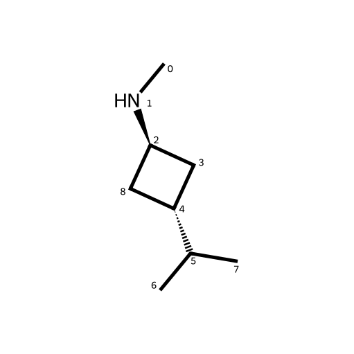 CN[C@H]1C[C@H](C(C)C)C1